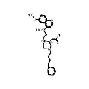 COc1ccc2nccc([C@@H](O)CC[C@@H]3CCN(CCCCc4ccccc4)C[C@@H]3CC(=O)O)c2c1